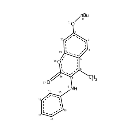 CCCCOc1ccc2c(C)c(Nc3ccccc3)c(=O)oc2c1